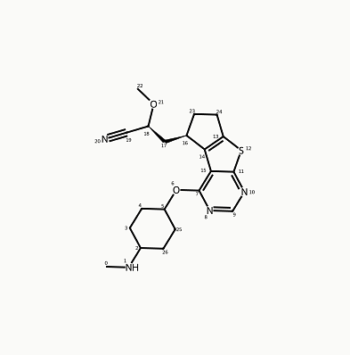 CNC1CCC(Oc2ncnc3sc4c(c23)[C@@H](C[C@@H](C#N)OC)CC4)CC1